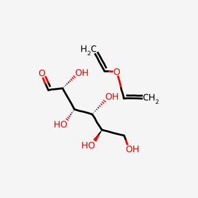 C=COC=C.O=C[C@H](O)[C@@H](O)[C@H](O)[C@H](O)CO